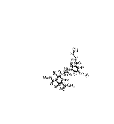 CNC(=O)c1c(Br)c(C(=O)NCC(=O)Nc2c(I)c(C(=O)O)c(I)c(C(=O)NCCO)c2I)c(Br)c(N(C)C(C)=O)c1Br